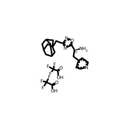 N[C@@H](Cc1ccncc1)c1nc(CC23CC4CC(CC(C4)C2)C3)no1.O=C(O)C(F)(F)F.O=C(O)C(F)(F)F